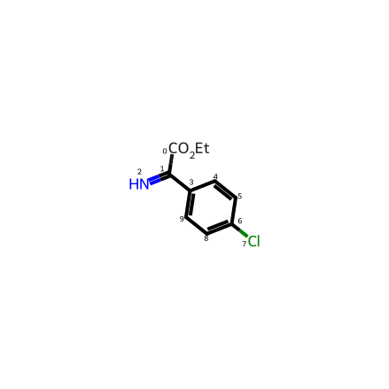 CCOC(=O)C(=N)c1ccc(Cl)cc1